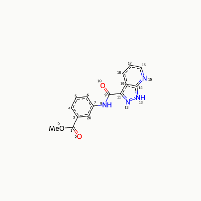 COC(=O)c1cccc(NC(=O)c2n[nH]c3ncccc23)c1